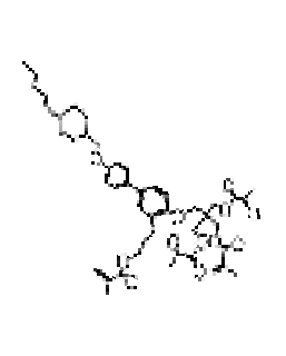 C=C(C)C(=O)OCCCc1cc(-c2ccc(OCC3CCC(CCCCC)CC3)cc2)ccc1OCC(COC(=O)C(=C)C)(COC(=O)C(C)=O)COC(=O)C(C)=O